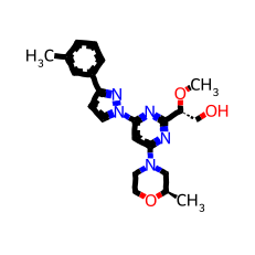 CO[C@H](CO)c1nc(N2CCO[C@H](C)C2)cc(-n2ccc(-c3cccc(C)c3)n2)n1